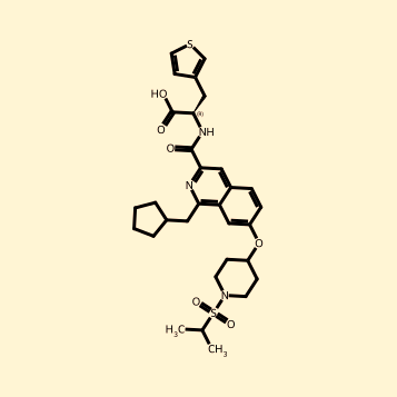 CC(C)S(=O)(=O)N1CCC(Oc2ccc3cc(C(=O)N[C@H](Cc4ccsc4)C(=O)O)nc(CC4CCCC4)c3c2)CC1